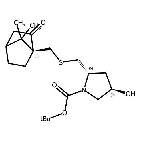 CC(C)(C)OC(=O)N1C[C@H](O)C[C@H]1CSC[C@]12CCC(CC1=O)C2(C)C